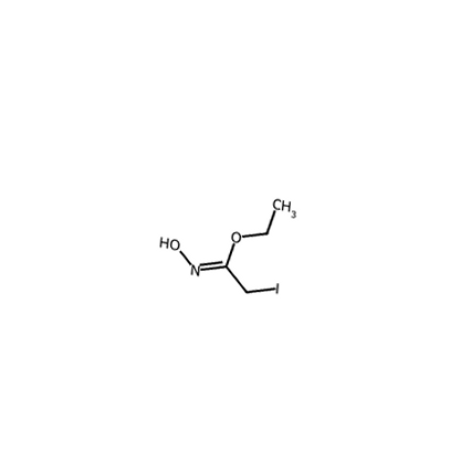 CCO/C(CI)=N\O